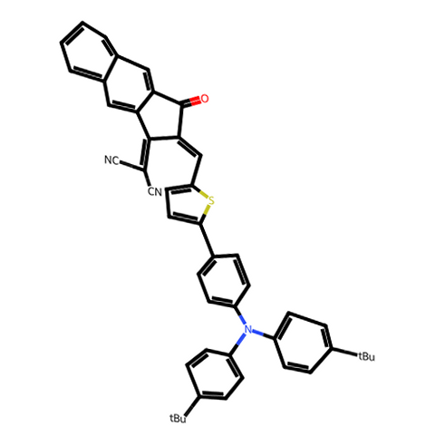 CC(C)(C)c1ccc(N(c2ccc(-c3ccc(/C=C4/C(=O)c5cc6ccccc6cc5C4=C(C#N)C#N)s3)cc2)c2ccc(C(C)(C)C)cc2)cc1